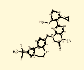 COc1ncnc(C2CC2)c1-c1ncc2c(n1)N(Cc1ccc3c(c1)OCCn1cc(C(C)(F)F)nc1-3)CC(=O)N2C